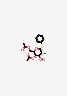 CC(=O)OCC1O[C@@H](Sc2ccccc2)[C@@H](C)C(O)[C@H]1OC(C)=O